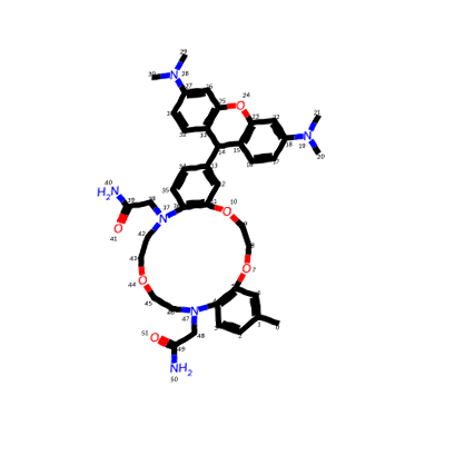 Cc1ccc2c(c1)OCCOc1cc(C3c4ccc(N(C)C)cc4Oc4cc(N(C)C)ccc43)ccc1N(CC(N)=O)CCOCCN2CC(N)=O